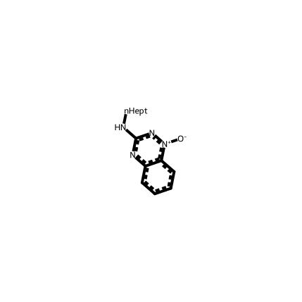 CCCCCCCNc1nc2ccccc2[n+]([O-])n1